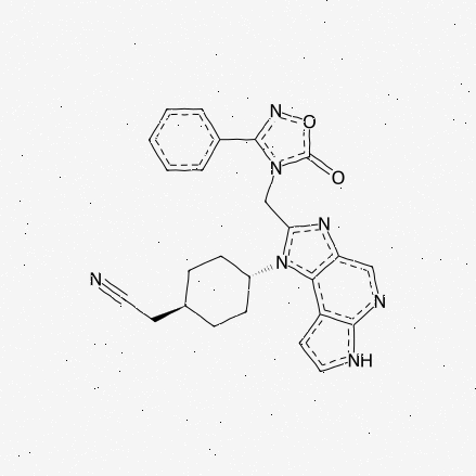 N#CC[C@H]1CC[C@H](n2c(Cn3c(-c4ccccc4)noc3=O)nc3cnc4[nH]ccc4c32)CC1